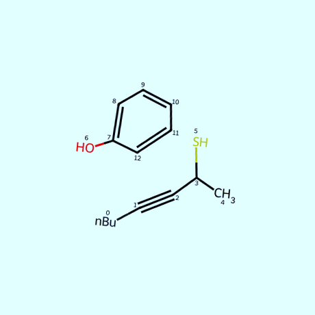 CCCCC#CC(C)S.Oc1ccccc1